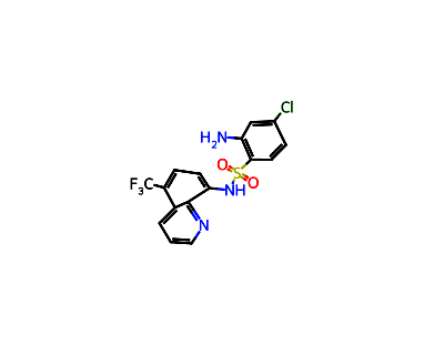 Nc1cc(Cl)ccc1S(=O)(=O)Nc1ccc(C(F)(F)F)c2cccnc12